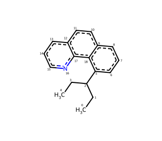 CCC(CC)c1cccc2ccc3cccnc3c12